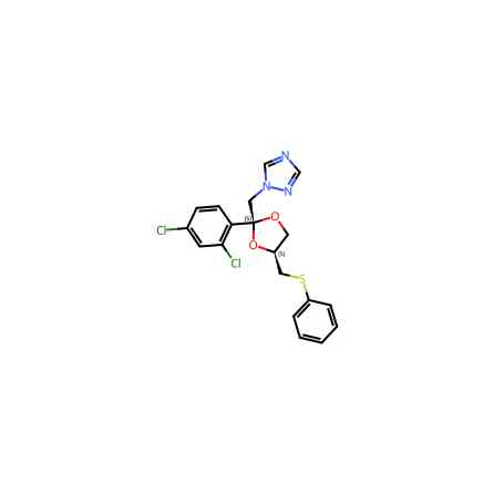 Clc1ccc([C@]2(Cn3cncn3)OC[C@@H](CSc3ccccc3)O2)c(Cl)c1